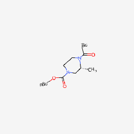 CCCCOC(=O)N1CCN(C(=O)C(C)CC)[C@H](C)C1